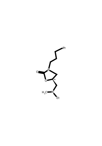 CCN(C)C[C@@H]1CN(CCCC(C)C)C(=O)O1